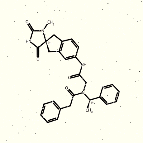 C[C@H](c1ccccc1)N(CC(=O)Nc1ccc2c(c1)C[C@@]1(C2)C(=O)NC(=O)N1C)C(=O)Cc1ccccc1